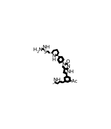 CC(=O)c1cc(CCC[C@H](C)N)cc(-c2cc3cn(-c4ccc([C@@H]5CCC[C@@H](CCSC(=N)N)N5)cc4)c(=O)nc3[nH]2)c1